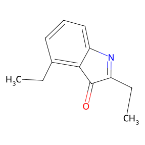 CCC1=Nc2cccc(CC)c2C1=O